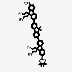 CC(C)CCC1(CCC(C)C)c2cc(B3OC(C)(C)C(C)(C)O3)ccc2-c2ccc(-c3ccc4c(c3)C(C)(C)c3cc(-c5ccc6c(c5)C(CCC(C)C)(CCC(C)C)c5cc(C(C)(C)C)ccc5-6)ccc3-4)cc21